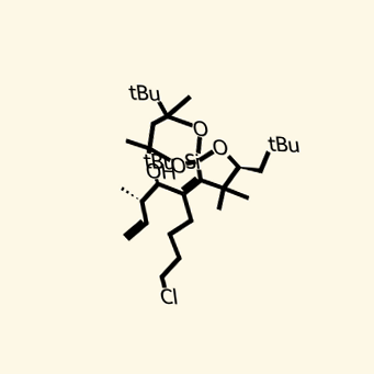 C=C[C@H](C)[C@H](O)/C(CCCCCl)=C1/C(C)(C)[C@H](CC(C)(C)C)O[Si]12OC(C)(C(C)(C)C)CC(C)(C(C)(C)C)O2